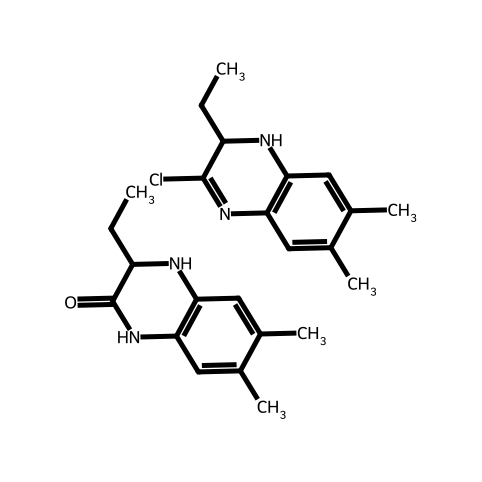 CCC1Nc2cc(C)c(C)cc2N=C1Cl.CCC1Nc2cc(C)c(C)cc2NC1=O